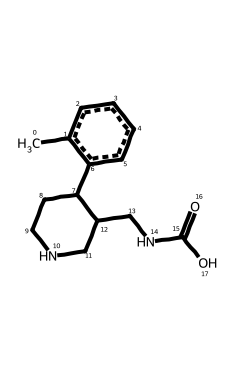 Cc1ccccc1C1CCNCC1CNC(=O)O